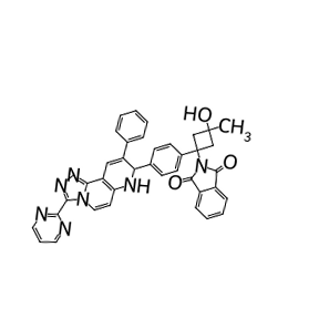 CC1(O)CC(c2ccc(C3Nc4ccn5c(-c6ncccn6)nnc5c4C=C3c3ccccc3)cc2)(N2C(=O)c3ccccc3C2=O)C1